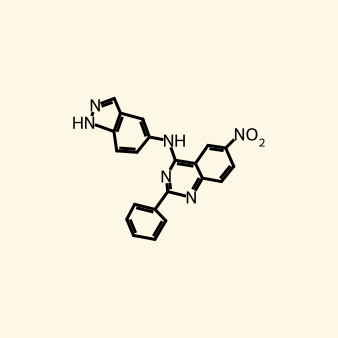 O=[N+]([O-])c1ccc2nc(-c3ccccc3)nc(Nc3ccc4[nH]ncc4c3)c2c1